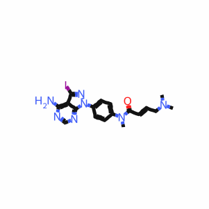 CN(C)C/C=C/C(=O)N(C)c1ccc(-n2nc(I)c3c(N)ncnc32)cc1